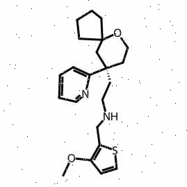 COc1ccsc1CNCC[C@@]1(c2ccccn2)CCOC2(CCCC2)C1